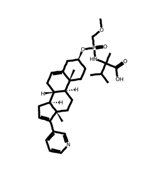 COCP(=O)(NC(C)(C(=O)O)C(C)C)O[C@H]1CC[C@@]2(C)C(=CC[C@@H]3[C@@H]2CC[C@]2(C)C(c4cccnc4)=CC[C@@H]32)C1